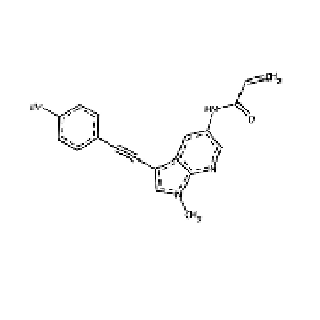 C=CC(=O)Nc1cnc2c(c1)c(C#Cc1ccc(C(C)C)cc1)cn2C